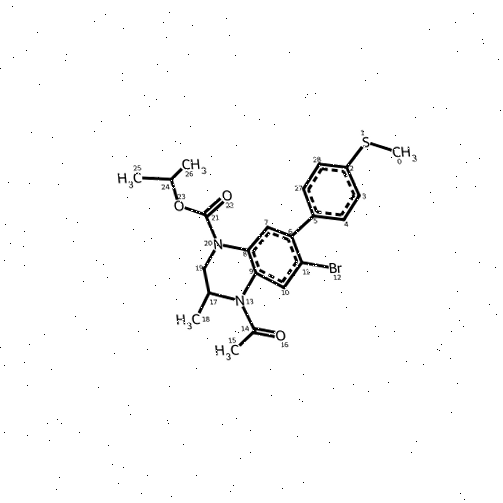 CSc1ccc(-c2cc3c(cc2Br)N(C(C)=O)C(C)CN3C(=O)OC(C)C)cc1